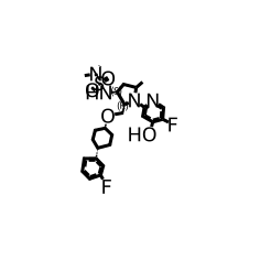 CC1C[C@H](NS(=O)(=O)N(C)C)[C@H](CO[C@H]2CC[C@@H](c3cccc(F)c3)CC2)N1c1cc(O)c(F)cn1